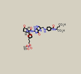 CCOP(=O)(OCC)OCCCCOC(=O)C1C(C(=O)Nc2nc(=O)c3nc(CNc4ccc(C(=O)N[C@@H](CCC(=O)O)C(=O)O)cc4)cnc3[nH]2)[C@H]2C(=O)C=C[C@@H]1N2Cc1ccccc1